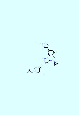 Cn1cc(-c2ccc(CN(c3ncnc(NC[C@]4(O)CCN(CC(N)=O)C[C@H]4O)c3F)C3CC3)c(F)c2)cn1